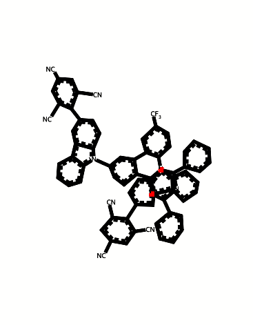 N#Cc1cc(C#N)c(-c2ccc3c(c2)c2ccccc2n3-c2ccc(-c3nc(-c4ccccc4)nc(-c4ccccc4)n3)c(-c3cc(C(F)(F)F)ccc3-n3c4ccccc4c4cc(-c5c(C#N)cc(C#N)cc5C#N)ccc43)c2)c(C#N)c1